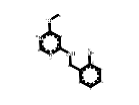 COc1cc(NCc2ccccc2O)ncn1